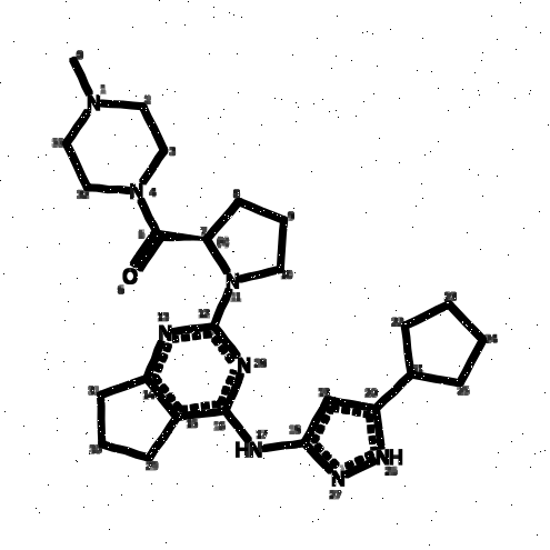 CN1CCN(C(=O)[C@H]2CCCN2c2nc3c(c(Nc4cc(C5CCCC5)[nH]n4)n2)CCC3)CC1